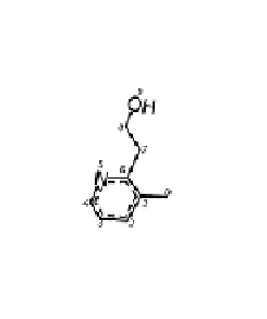 Cc1cccnc1CCO